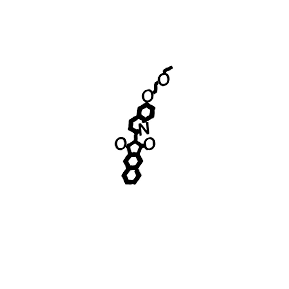 CCOCCOc1ccc2nc(C3C(=O)c4cc5ccccc5cc4C3=O)ccc2c1